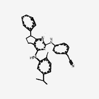 Cc1ccc(C(C)C)cc1Nc1nc(Nc2ccc(C#N)cc2)nc2c1CCC2c1ccccc1